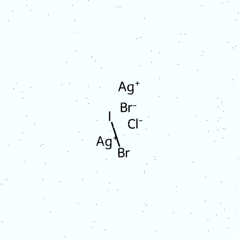 BrI.[Ag+].[Ag+].[Br-].[Cl-]